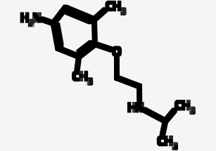 Cc1cc(N)cc(C)c1OCCNC(C)C